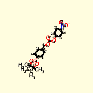 CC1(C)OB(c2ccc(COC(=O)Oc3ccc([N+](=O)[O-])cc3)cc2)OC1(C)C